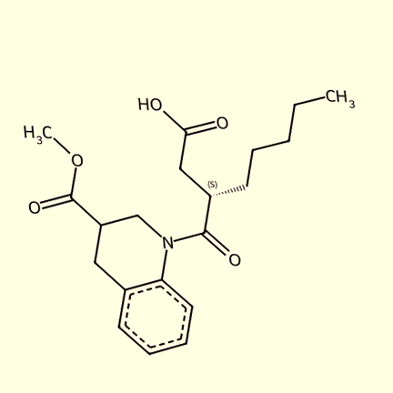 CCCCC[C@@H](CC(=O)O)C(=O)N1CC(C(=O)OC)Cc2ccccc21